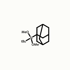 CO[Si](OC)(C(C)(C)C)C12CC3CC(CC(C3)C1)C2